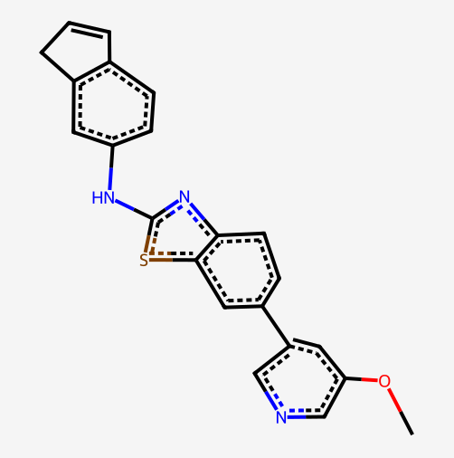 COc1cncc(-c2ccc3nc(Nc4ccc5c(c4)CC=C5)sc3c2)c1